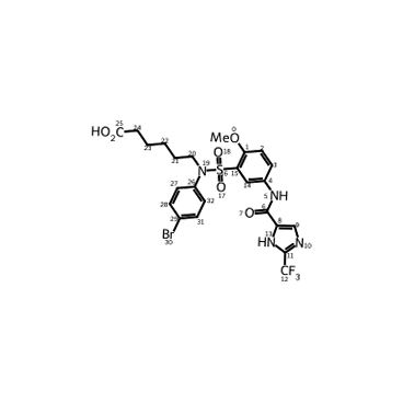 COc1ccc(NC(=O)c2cnc(C(F)(F)F)[nH]2)cc1S(=O)(=O)N(CCCCCC(=O)O)c1ccc(Br)cc1